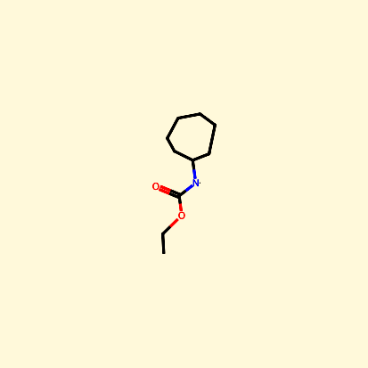 CCOC(=O)[N]C1CCCCCC1